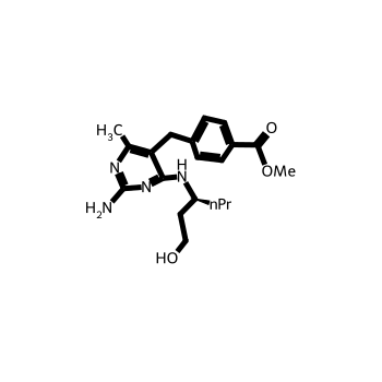 CCC[C@@H](CCO)Nc1nc(N)nc(C)c1Cc1ccc(C(=O)OC)cc1